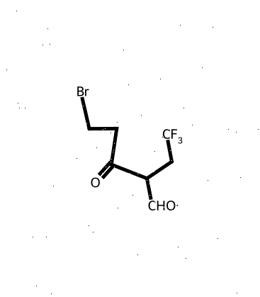 O=[C]C(CC(F)(F)F)C(=O)CCBr